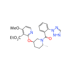 CCOC(=O)c1c(OC)ccnc1O[C@@H]1CC[C@@H](C)N(C(=O)c2ccccc2-n2ncnn2)C1